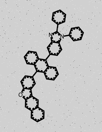 c1ccc(-c2nc3cc(-c4c5ccccc5c(-c5ccc6oc7cc8ccccc8cc7c6c5)c5ccccc45)ccc3n2-c2ccccc2)cc1